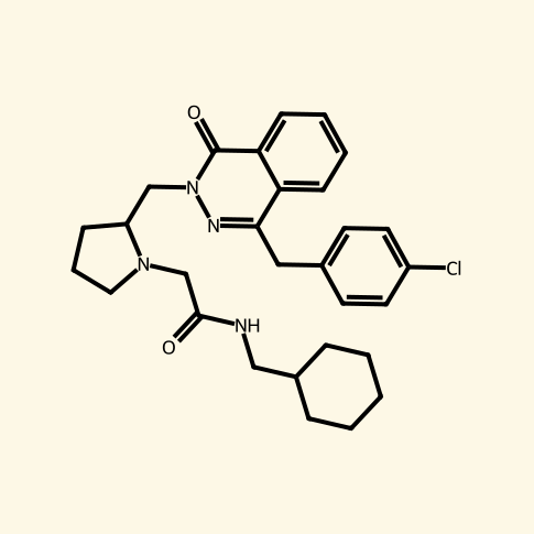 O=C(CN1CCCC1Cn1nc(Cc2ccc(Cl)cc2)c2ccccc2c1=O)NCC1CCCCC1